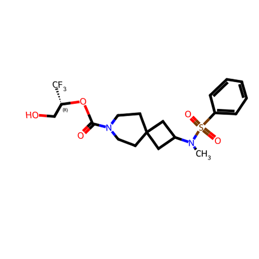 CN(C1CC2(CCN(C(=O)O[C@H](CO)C(F)(F)F)CC2)C1)S(=O)(=O)c1ccccc1